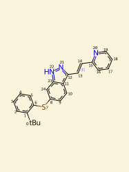 CC(C)(C)c1ccccc1Sc1ccc2c(/C=C/c3ccccn3)n[nH]c2c1